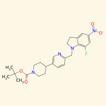 CC(C)(C)OC(=O)N1CCC(c2ccc(CN3CCc4cc([N+](=O)[O-])cc(F)c43)nc2)CC1